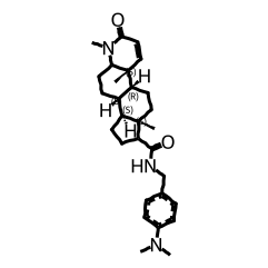 CN(C)c1ccc(CNC(=O)C2CC[C@H]3[C@@H]4CCC5N(C)C(=O)C=C[C@]5(C)[C@@H]4CC[C@]23C)cc1